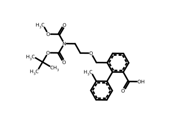 COC(=O)N(CCOCc1cccc(C(=O)O)c1-c1ccccc1C)C(=O)OC(C)(C)C